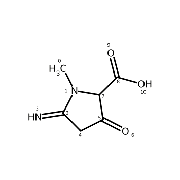 CN1C(=N)CC(=O)C1C(=O)O